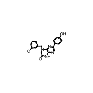 COc1cccc(CN2CC(=O)Nc3ncc(-c4ccc(O)cc4)nc32)c1